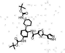 CC(C)(C)OC(=O)Nc1ccc(N2CCC[C@@H](NC(=O)OC(C)(C)C)C2)c(NC(=O)c2csc(-c3cn[nH]c3)n2)c1